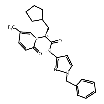 O=C(Nc1ccn(Cc2ccccc2)n1)[C@H](CC1CCCC1)n1cc(C(F)(F)F)ccc1=O